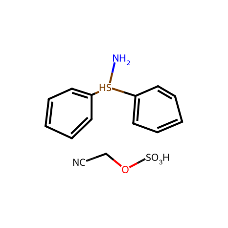 N#CCOS(=O)(=O)O.N[SH](c1ccccc1)c1ccccc1